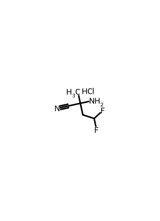 CC(N)(C#N)CC(F)F.Cl